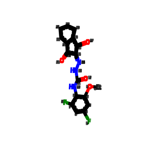 CCOc1cc(F)cc(F)c1NC(=O)NN=c1c(=O)c2ccccc2c1=O